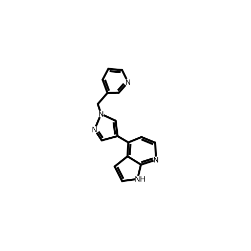 c1cncc(Cn2cc(-c3ccnc4[nH]ccc34)cn2)c1